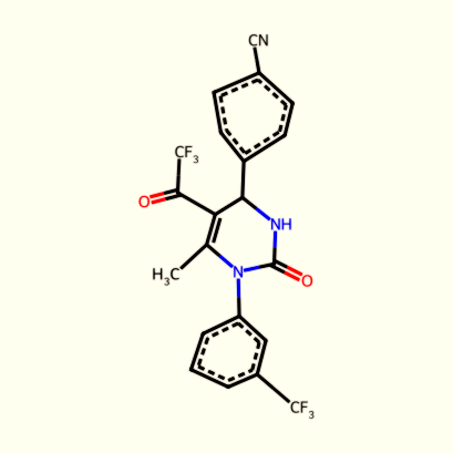 CC1=C(C(=O)C(F)(F)F)C(c2ccc(C#N)cc2)NC(=O)N1c1cccc(C(F)(F)F)c1